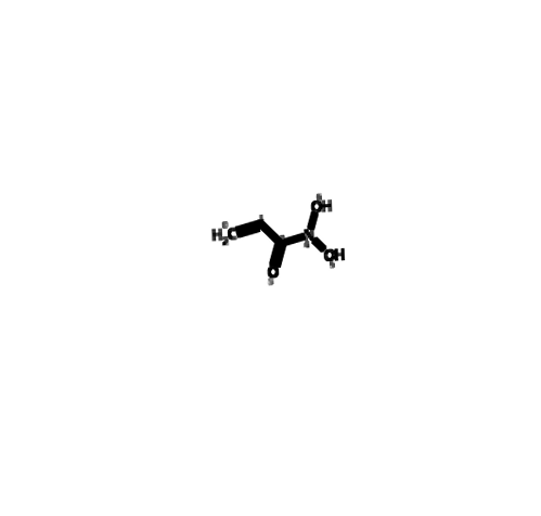 C=CC(=O)N(O)O